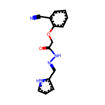 N#Cc1ccccc1OCC(=O)N/N=C/c1ccc[nH]1